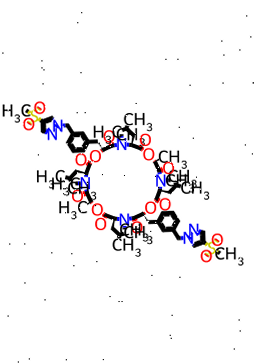 CC(C)C[C@H]1C(=O)O[C@H](Cc2cccc(Cn3cc(S(C)(=O)=O)cn3)c2)C(=O)N(C)[C@@H](CC(C)C)C(=O)O[C@H](C)C(=O)N(C)[C@@H](CC(C)C)C(=O)O[C@H](Cc2cccc(Cn3cc(S(C)(=O)=O)cn3)c2)C(=O)N(C)[C@@H](CC(C)C)C(=O)O[C@H](C)C(=O)N1C